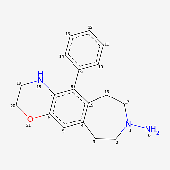 NN1CCc2cc3c(c(-c4ccccc4)c2CC1)NCCO3